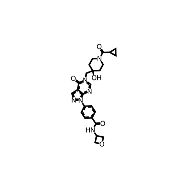 O=C(NC1COC1)c1ccc(-n2ncc3c(=O)n(CC4(O)CCN(C(=O)C5CC5)CC4)cnc32)cc1